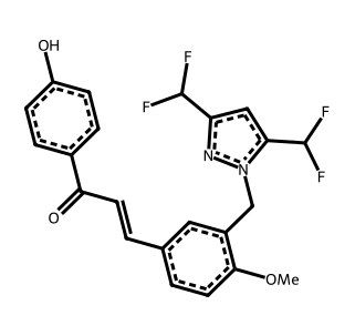 COc1ccc(/C=C/C(=O)c2ccc(O)cc2)cc1Cn1nc(C(F)F)cc1C(F)F